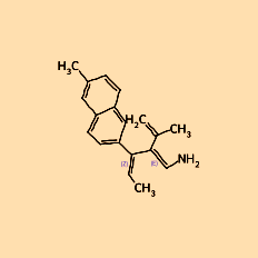 C=C(C)C(=C\N)/C(=C\C)c1ccc2cc(C)ccc2c1